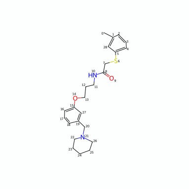 Cc1cccc(SCC(=O)NCCCOc2cccc(CN3CCCCC3)c2)c1